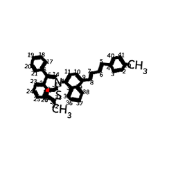 Cc1ccc(/C=C/C=C/c2ccc(N(C=C(c3ccccc3)c3ccccc3)c3ccc(C)s3)c3ccccc23)cc1